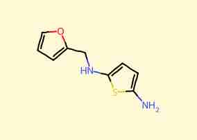 Nc1ccc(NCc2ccco2)s1